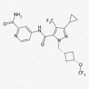 NC(=O)c1cc(NC(=O)c2c(C(F)(F)F)c(C3CC3)nn2C[C@H]2C[C@@H](OC(F)(F)F)C2)ccn1